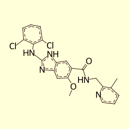 COc1cc2nc(Nc3c(Cl)cccc3Cl)[nH]c2cc1C(=O)NCc1ncccc1C